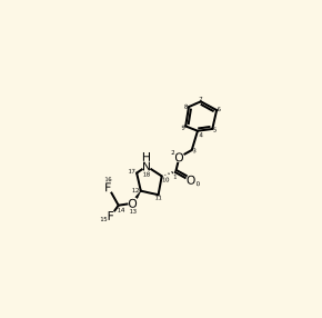 O=C(OCc1ccccc1)[C@@H]1C[C@@H](OC(F)F)CN1